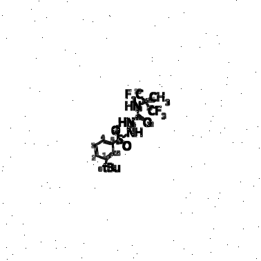 CC(C)(C)c1cccc(S(=O)(=O)NNC(=O)NC(C)(C(F)(F)F)C(F)(F)F)c1